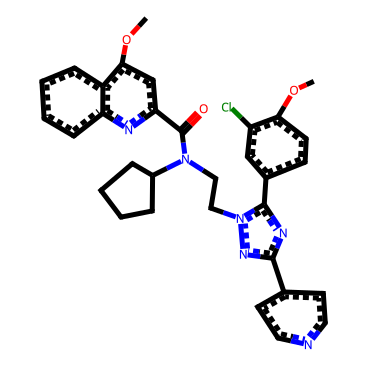 COc1ccc(-c2nc(-c3ccncc3)nn2CCN(C(=O)c2cc(OC)c3ccccc3n2)C2CCCC2)cc1Cl